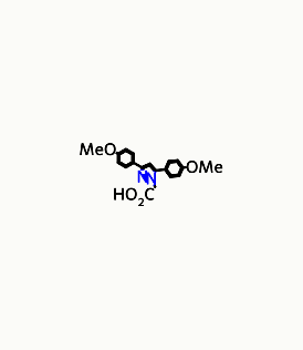 COc1ccc(-c2cc(-c3ccc(OC)cc3)n(CC(=O)O)n2)cc1